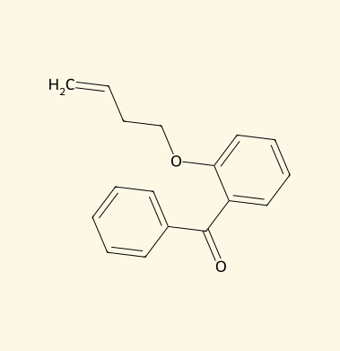 C=CCCOc1ccccc1C(=O)c1ccccc1